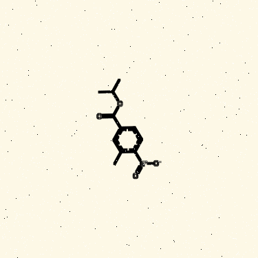 Cc1cc(C(=O)OC(C)C)ccc1[N+](=O)[O-]